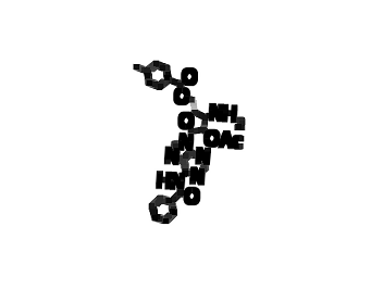 CC(=O)O[C@@H]1[C@H](N)[C@@H](COC(=O)c2ccc(C)cc2)O[C@H]1n1cnc2c(NC(=O)c3ccccc3)ncnc21